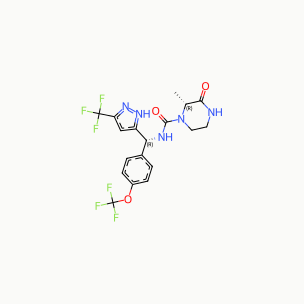 C[C@@H]1C(=O)NCCN1C(=O)N[C@H](c1ccc(OC(F)(F)F)cc1)c1cc(C(F)(F)F)n[nH]1